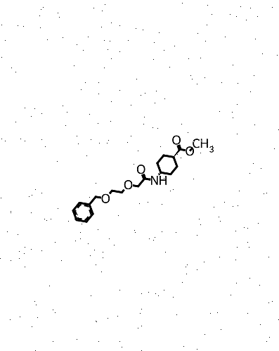 COC(=O)[C@H]1CC[C@H](NC(=O)COCCOCc2ccccc2)CC1